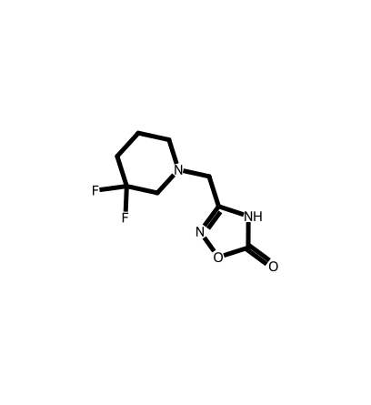 O=c1[nH]c(CN2CCCC(F)(F)C2)no1